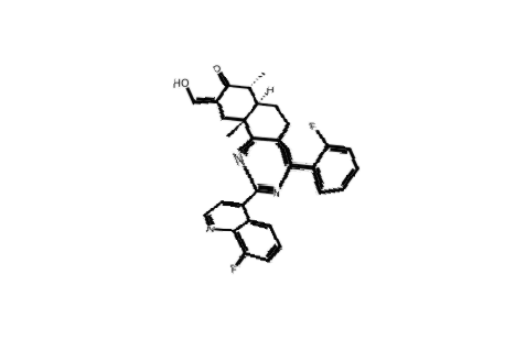 C[C@H]1C(=O)/C(=C\O)C[C@@]2(C)c3nc(-c4ccnc5c(F)cccc45)nc(-c4ccccc4F)c3CC[C@H]12